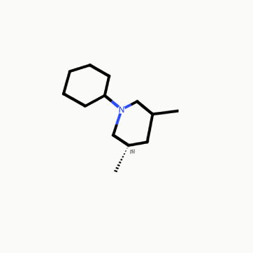 CC1C[C@H](C)CN(C2CCCCC2)C1